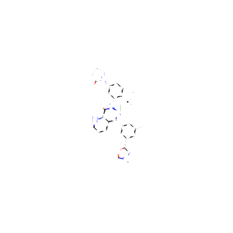 Cc1cc(-c2cnco2)cc(-c2nn(-c3cc(N4CCCC4=O)ccc3C(F)(F)F)c(=O)c3ncccc23)c1